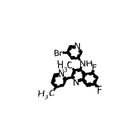 Cc1ccnc(-c2nc3cc(F)cc(F)c3c(Nc3cncc(Br)c3)c2C)c1